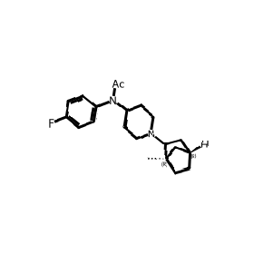 CC(=O)N(c1ccc(F)cc1)C1CCN(C2C[C@@H]3CC[C@]2(C)C3)CC1